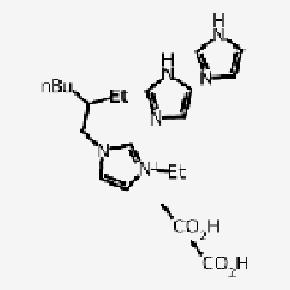 CC(=O)O.CC(=O)O.CCCCC(CC)Cn1cc[n+](CC)c1.c1c[nH]cn1.c1c[nH]cn1